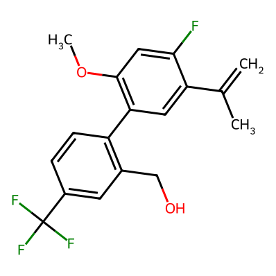 C=C(C)c1cc(-c2ccc(C(F)(F)F)cc2CO)c(OC)cc1F